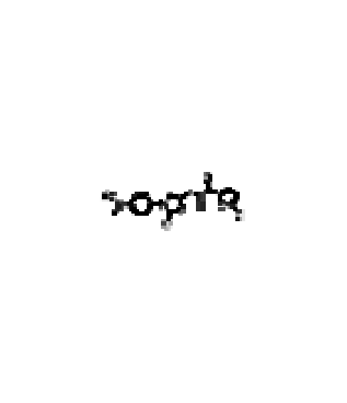 CC(=O)N(C)c1ccc(N2CC(CNC(=O)c3ccc(Cl)s3)OC2=O)cc1